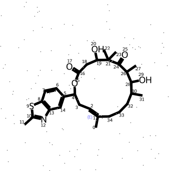 C/C1=C\CC(c2ccc3sc(C)nc3c2)OC(=O)CC(O)C(C)(C)C(=O)C(C)C(O)C(C)CCC1